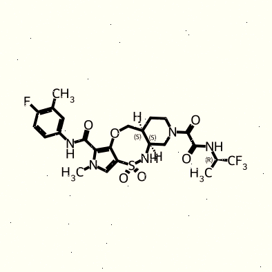 Cc1cc(NC(=O)c2c3c(cn2C)S(=O)(=O)N[C@@H]2CN(C(=O)C(=O)N[C@H](C)C(F)(F)F)CC[C@@H]2CO3)ccc1F